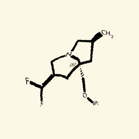 C=C1CN2CC(=C(F)F)C[C@]2(COC(C)C)C1